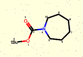 CC(C)(C)OC(=O)N1CCCCCC1